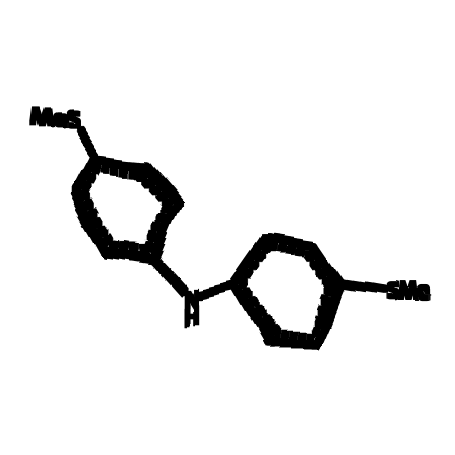 CSc1ccc(Nc2ccc(SC)cc2)cc1